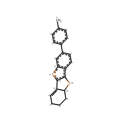 Cc1ccc(-c2ccc3c4c(sc3c2)C2=CCCCC2S4)cc1